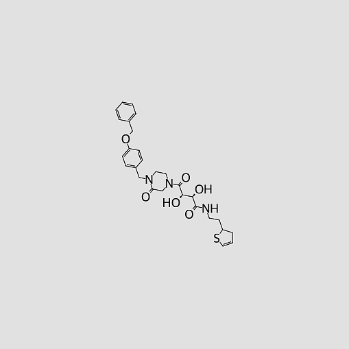 O=C(NCCC1CC=CS1)[C@H](O)[C@@H](O)C(=O)N1CCN(Cc2ccc(OCc3ccccc3)cc2)C(=O)C1